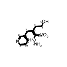 NNC(=C(CCO)Cc1cccnc1)[N+](=O)[O-]